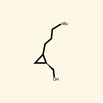 CCCCCCCC1C[C@@H]1CO